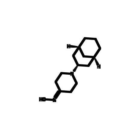 ON=C1CCN([C@H]2C[C@@H]3CCC[C@@H](C3)C2)CC1